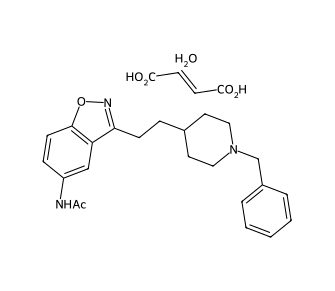 CC(=O)Nc1ccc2onc(CCC3CCN(Cc4ccccc4)CC3)c2c1.O.O=C(O)C=CC(=O)O